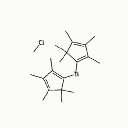 CC1=C(C)C(C)(C)[C]([Ti][C]2=C(C)C(C)=C(C)C2(C)C)=C1C.CCl